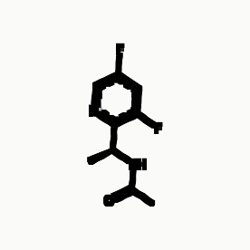 CC(=O)N[C@@H](C)c1ncc(F)cc1F